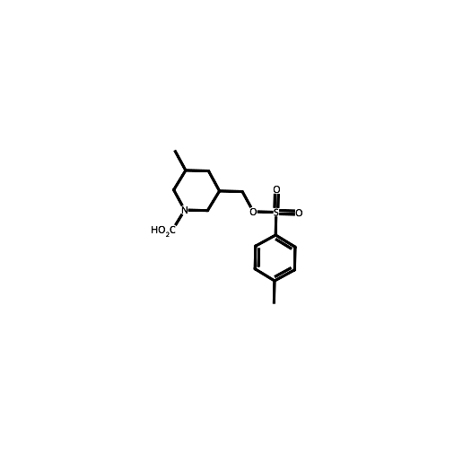 Cc1ccc(S(=O)(=O)OCC2CC(C)CN(C(=O)O)C2)cc1